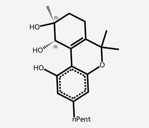 CCCCCc1cc(O)c2c(c1)OC(C)(C)C1=C2[C@H](O)[C@@](C)(O)CC1